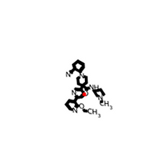 CCOc1ncccc1-c1ccc(C2(C(=O)N[C@H]3CCN(C)C3)CCN(c3ccccc3C#N)CC2)cn1